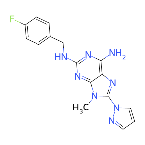 Cn1c(-n2cccn2)nc2c(N)nc(NCc3ccc(F)cc3)nc21